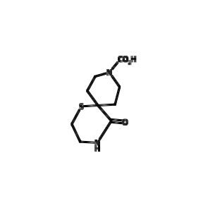 O=C(O)N1CCC2(CC1)SCCNC2=O